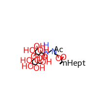 C=C(CCCCCCC)C(=O)OCCN(CCNC(=O)C(O)C(O)C(O[C@@H]1OC(CO)[C@H](O)[C@H](O)C1O)C(O)CO)C(C)=O